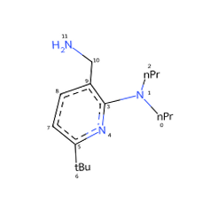 CCCN(CCC)c1nc(C(C)(C)C)ccc1CN